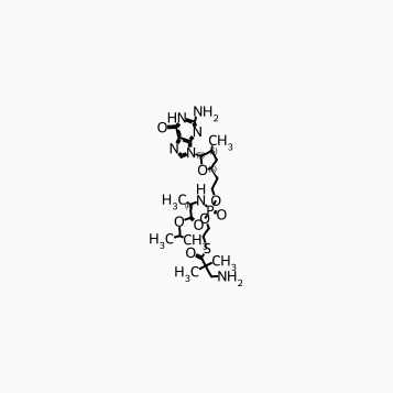 CC(C)OC(=O)[C@@H](C)NP(=O)(OCCSC(=O)C(C)(C)CN)OCC[C@@H]1C[C@H](C)[C@H](n2cnc3c(=O)[nH]c(N)nc32)O1